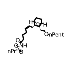 CCCCCOCC[C@@H]1[C@H](C/C=C\CCCC(=O)NS(=O)(=O)CCC)[C@@H]2CC[C@H]1O2